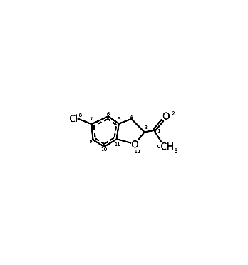 CC(=O)C1Cc2cc(Cl)ccc2O1